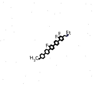 C=CC1CCC(C2CC=C(c3ccc(-c4ccc(-c5ccc(C/C=C\CC)c(F)c5F)cc4)cc3F)CC2)CC1